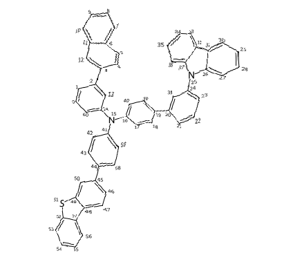 c1cc(-c2ccc3ccccc3c2)cc(N(c2ccc(-c3cccc(-n4c5ccccc5c5ccccc54)c3)cc2)c2ccc(-c3ccc4c(c3)sc3ccccc34)cc2)c1